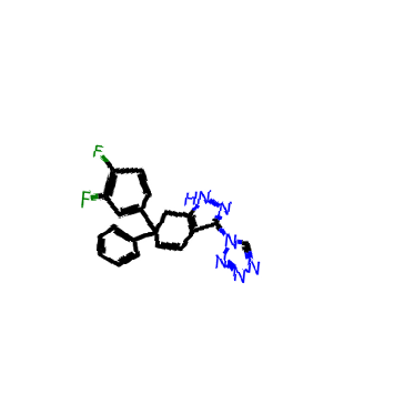 Fc1ccc(C2(c3ccccc3)C=Cc3c(-n4cnnn4)n[nH]c3C2)cc1F